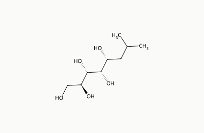 CC(C)C[C@@H](O)[C@H](O)[C@@H](O)[C@@H](O)CO